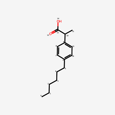 CCCCCCc1ccc(C(C)C(=O)O)cc1